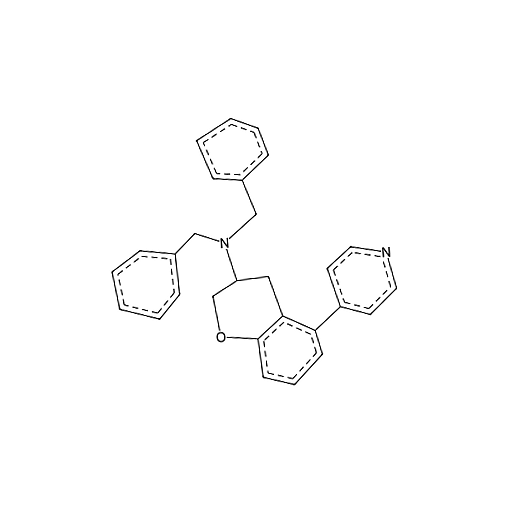 c1ccc(CN(Cc2ccccc2)C2COc3cccc(-c4ccncc4)c3C2)cc1